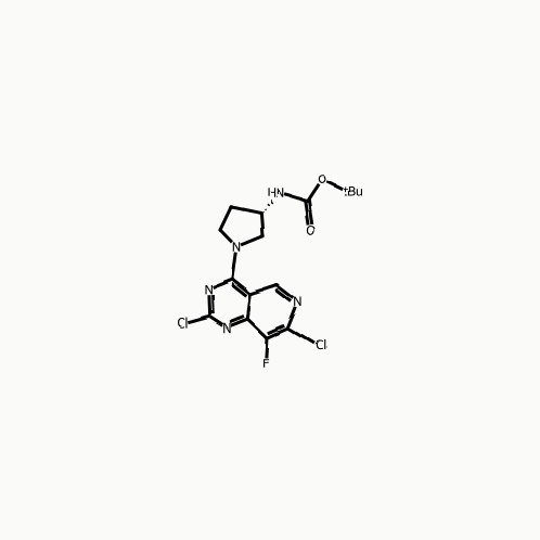 CC(C)(C)OC(=O)N[C@H]1CCN(c2nc(Cl)nc3c(F)c(Cl)ncc23)C1